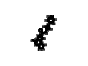 Cc1nc2c(c3c1CN(C(=O)CC1CN(c4ccncc4)C1)C3)CCC2